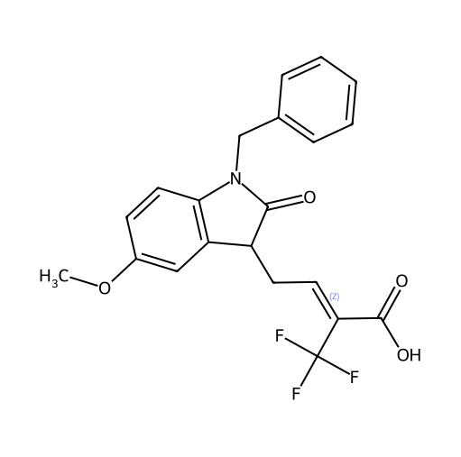 COc1ccc2c(c1)C(C/C=C(/C(=O)O)C(F)(F)F)C(=O)N2Cc1ccccc1